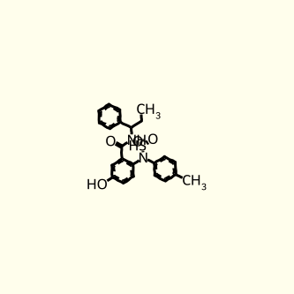 CCC(NC(=O)c1cc(O)ccc1N(c1ccc(C)cc1)[SH](=O)=O)c1ccccc1